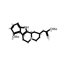 COC(=O)CC1CCN2CCc3c([nH]c4cccc(OC)c34)C2C1